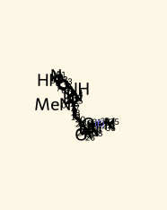 CNc1nc(Nc2ccc3[nH]ncc3c2)ncc1C#CCCCNC(=O)[C@H](C)N(C)C(=O)/C=C/CN(C)C